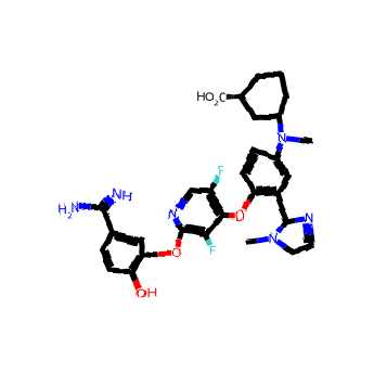 CN1CC=NC1c1cc(N(C)C2CCCC(C(=O)O)C2)ccc1Oc1c(F)cnc(Oc2cc(C(=N)N)ccc2O)c1F